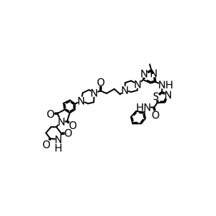 Cc1nc(Nc2ncc(C(=O)Nc3ccccc3)s2)cc(N2CCN(CCCC(=O)N3CCN(c4ccc5c(c4)C(=O)N(C4CCC(=O)NC4=O)C5=O)CC3)CC2)n1